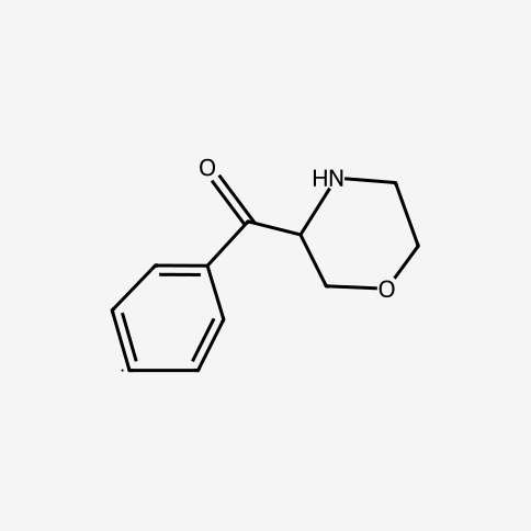 O=C(c1cc[c]cc1)C1COCCN1